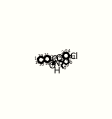 CCC1(C(=O)NS(=O)(=O)c2ccc3ccccc3c2)CCc2c(Cl)cccc21